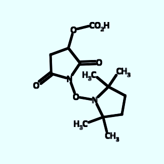 CC1(C)CCC(C)(C)N1ON1C(=O)CC(OC(=O)O)C1=O